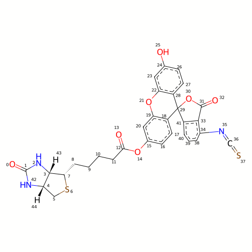 O=C1N[C@H]2[C@H](CS[C@H]2CCCCC(=O)Oc2ccc3c(c2)Oc2cc(O)ccc2C32OC(=O)c3c(N=C=S)cccc32)N1